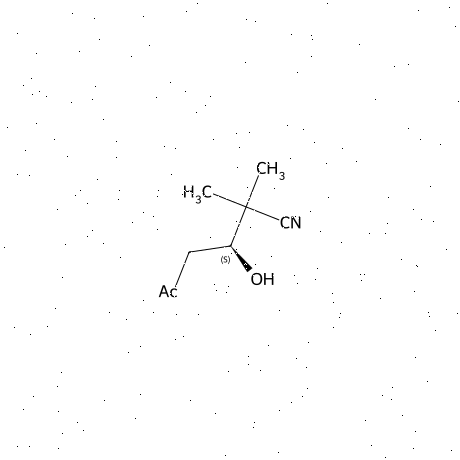 CC(=O)C[C@H](O)C(C)(C)C#N